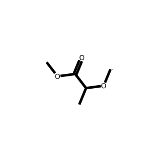 [CH2]OC(C)C(=O)OC